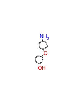 Nc1ccc(Oc2cccc(O)c2)cc1